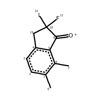 Cc1ccc2c(c1C)C(=O)C(F)(I)C2